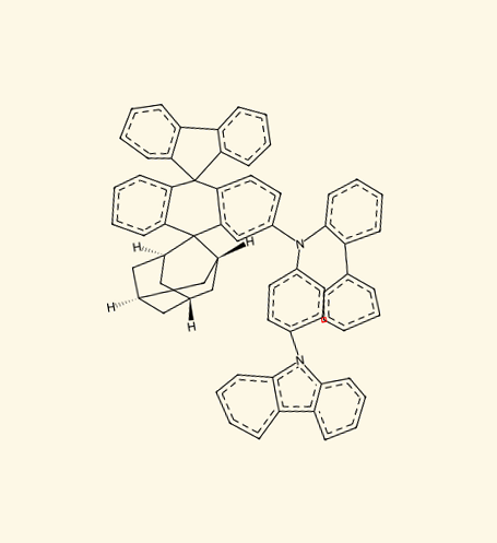 c1ccc(-c2ccccc2N(c2ccc(-n3c4ccccc4c4ccccc43)cc2)c2ccc3c(c2)C2(c4ccccc4C34c3ccccc3-c3ccccc34)[C@H]3C[C@H]4C[C@H](C[C@H]2C4)C3)cc1